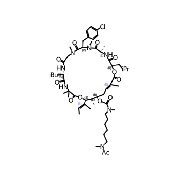 C/C=C(\C)[C@H]1OC(=O)C(C)(C)NC(=O)[C@H]([C@H](C)CC)NC(=O)CN(C)C(=O)[C@@H](Cc2ccc(Cl)cc2)N(C)C(=O)[C@H](C)NC(=O)[C@@H](CC(C)C)OC(=O)/C(C)=C/C[C@@H](OC(=O)N(C)CCCCCCN(C)C(C)=O)[C@@H]1C